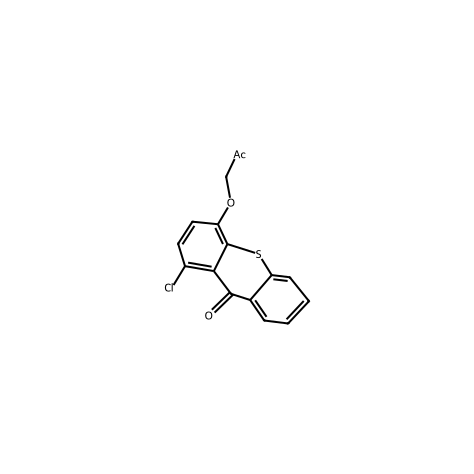 CC(=O)COc1ccc(Cl)c2c(=O)c3ccccc3sc12